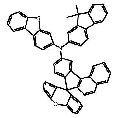 CC1(C)c2ccccc2-c2ccc(N(c3ccc4c(c3)-c3c(ccc5ccccc35)C43c4ccccc4Oc4ccccc43)c3ccc4c(c3)sc3ccccc34)cc21